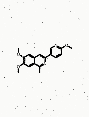 COc1ccc(-c2cc3cc(OC)c(OC)cc3c(C)n2)cn1